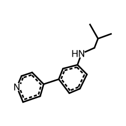 CC(C)CNc1cccc(-c2ccncc2)c1